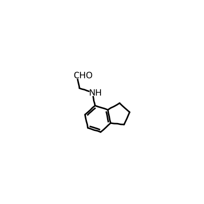 O=CCNc1cccc2c1CCC2